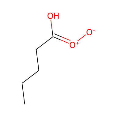 CCCCC(O)=[O+][O-]